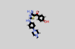 CN1CCN(c2ccc(Nc3nc(N)c(C(=O)c4ccc(O)cc4)s3)cc2)CC1